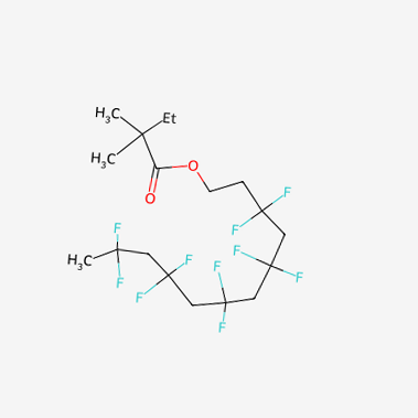 CCC(C)(C)C(=O)OCCC(F)(F)CC(F)(F)CC(F)(F)CC(F)(F)CC(C)(F)F